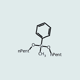 CCCCCO[Si](C)(OCCCCC)c1ccccc1